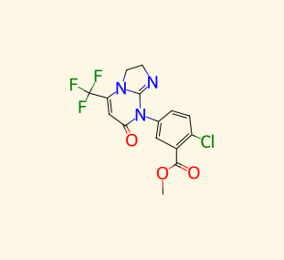 COC(=O)c1cc(N2C(=O)C=C(C(F)(F)F)N3CCN=C32)ccc1Cl